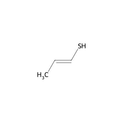 CC=CS